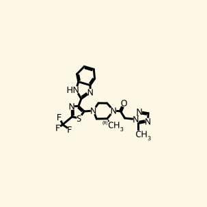 Cc1ncnn1CC(=O)N1CCN(c2sc(C(F)(F)F)nc2-c2nc3ccccc3[nH]2)C[C@H]1C